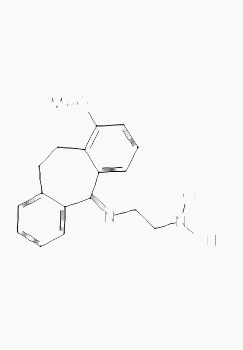 COc1cccc2c1CCc1ccccc1/C2=N/CCN(C)C